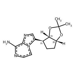 CC1(C)O[C@@H]2[C@@H](CC[C@H]2c2cnc3c(N)nccn23)O1